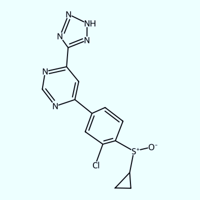 [O-][S+](c1ccc(-c2cc(-c3nn[nH]n3)ncn2)cc1Cl)C1CC1